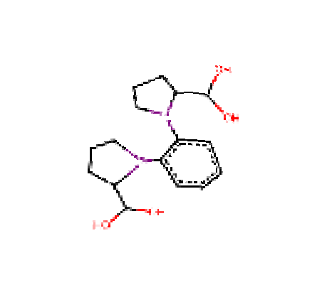 OC(O)C1CCCP1c1ccccc1P1CCCC1C(O)O